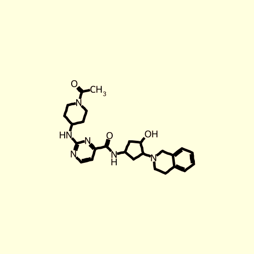 CC(=O)N1CCC(Nc2nccc(C(=O)NC3CC(O)C(N4CCc5ccccc5C4)C3)n2)CC1